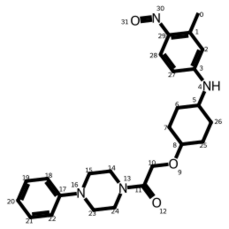 Cc1cc(NC2CCC(OCC(=O)N3CCN(c4ccccc4)CC3)CC2)ccc1N=O